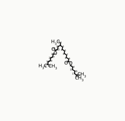 CCC(CCCCCCCC(=O)OCCCCCC(C)C)CCC(=O)OCCCCCC(C)C